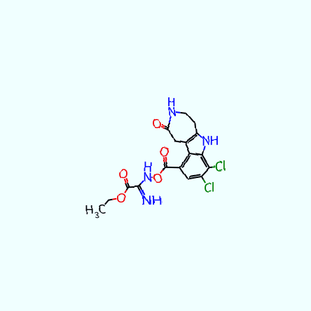 CCOC(=O)C(=N)NOC(=O)c1cc(Cl)c(Cl)c2[nH]c3c(c12)CC(=O)NCC3